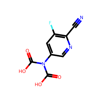 N#Cc1ncc(N(C(=O)O)C(=O)O)cc1F